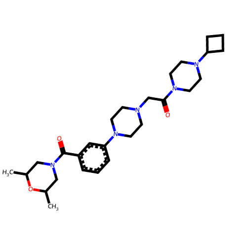 CC1CN(C(=O)c2cccc(N3CCN(CC(=O)N4CCN(C5CCC5)CC4)CC3)c2)CC(C)O1